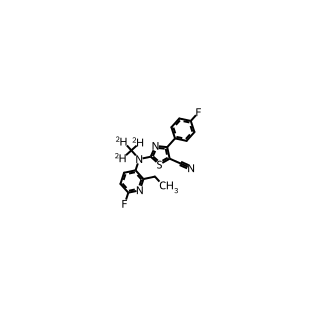 [2H]C([2H])([2H])N(c1nc(-c2ccc(F)cc2)c(C#N)s1)c1ccc(F)nc1CC